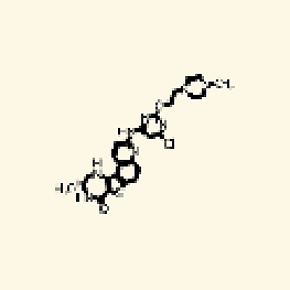 C[C@@H]1CNc2c(sc3ccc4nc(Nc5cc(Cl)nc(OCCN6CCN(C)CC6)n5)ccc4c23)C(=O)N1